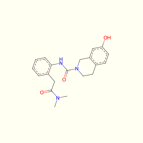 CN(C)C(=O)Cc1ccccc1NC(=O)N1CCc2ccc(O)cc2C1